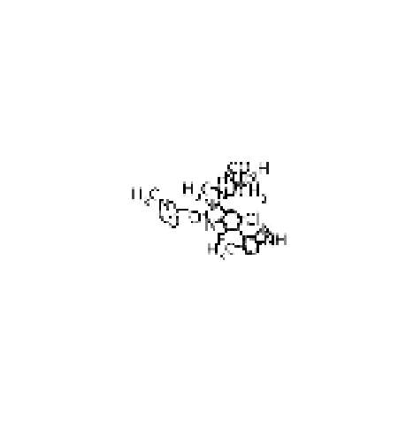 Cc1ccc2[nH]ncc2c1-c1c(Cl)cc2c(N3C[C@@](C)(C(C)(C)C)N(C(=O)O)C[C@@H]3C)nc(OCC3CN(C)CCO3)nc2c1F